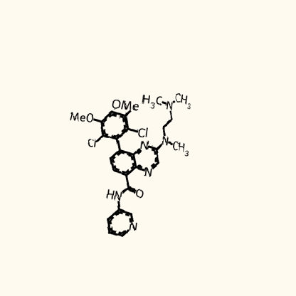 COc1cc(OC)c(Cl)c(-c2ccc(C(=O)Nc3cccnc3)c3ncc(N(C)CCN(C)C)nc23)c1Cl